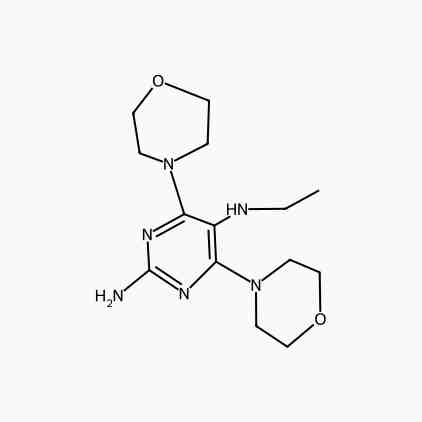 CCNc1c(N2CCOCC2)nc(N)nc1N1CCOCC1